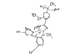 CCOc1cc(C(C)(C)C(C)=O)ccc1C1=N[C@@](C)(c2ccc(Cl)cc2)[C@@](C)(c2ccc(Cl)cc2)N1